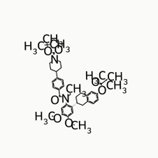 CCN(C(=O)c1ccc(C2CCN(C(=O)OC(C)(C)C)CC2)cc1)c1cc(OC)c(OC)cc1[C@@H]1CCc2cc(OC(=O)C(C)(C)C)ccc2C1